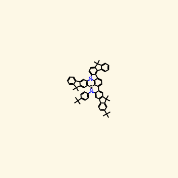 CC(C)(C)c1ccc(N2B3c4cc5c(cc4-n4c6ccc7c(c6c6ccc(c3c64)-c3cc4c(cc32)-c2ccc(C(C)(C)C)cc2C4(C)C)-c2ccccc2C7(C)C)-c2ccccc2C5(C)C)cc1